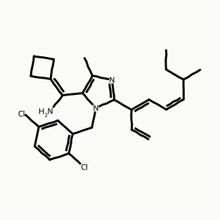 C=C/C(=C\C=C/C(C)CC)c1nc(C)c(C(N)=C2CCC2)n1Cc1cc(Cl)ccc1Cl